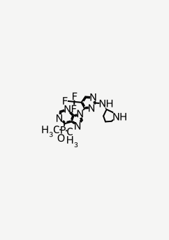 CP(C)(=O)c1ncnc2c1ncn2-c1nc(N[C@H]2CCCNC2)ncc1C(F)(F)F